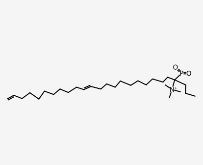 C=CCCCCCCCCC=CCCCCCCCCCCC(CCC)(P(=O)=O)[N+](C)(C)C